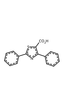 O=C(O)c1sc(-c2ccccc2)nc1-c1ccccc1